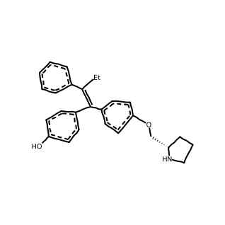 CC/C(=C(/c1ccc(O)cc1)c1ccc(OC[C@@H]2CCCN2)cc1)c1ccccc1